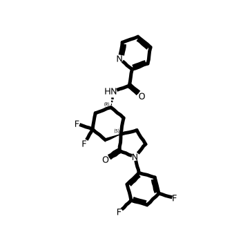 O=C(N[C@H]1CC(F)(F)C[C@]2(CCN(c3cc(F)cc(F)c3)C2=O)C1)c1ccccn1